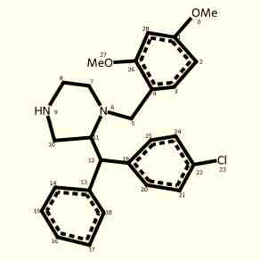 COc1ccc(CN2CCNCC2C(c2ccccc2)c2ccc(Cl)cc2)c(OC)c1